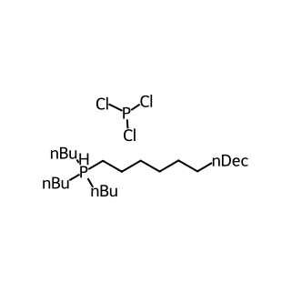 CCCCCCCCCCCCCCCC[PH](CCCC)(CCCC)CCCC.ClP(Cl)Cl